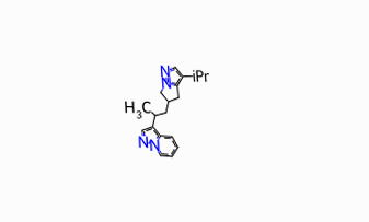 CC(C)c1cnn2c1CC(CC(C)c1cnn3ccccc13)C2